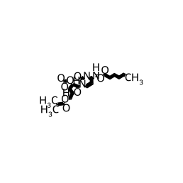 CCCCCC(=O)ONc1ccn([C@@H]2OC(COC(=O)C(C)C)[C@H]3OC(=O)O[C@H]32)c(=O)n1